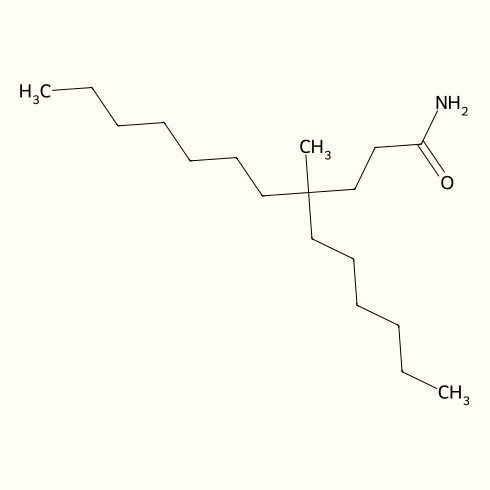 CCCCCCCC(C)(CCCCCC)CCC(N)=O